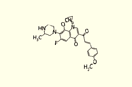 COc1ccc(C=CC(=O)c2cn(C3CC3)c3c(OC)c(N4CCNC(C)C4)c(F)cc3c2=O)cc1